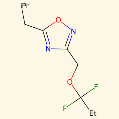 CCC(F)(F)OCc1noc(CC(C)C)n1